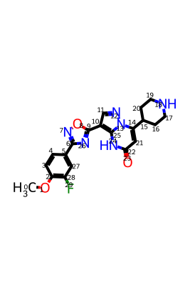 COc1ccc(-c2noc(-c3cnn4c(C5CCNCC5)cc(=O)[nH]c34)n2)cc1F